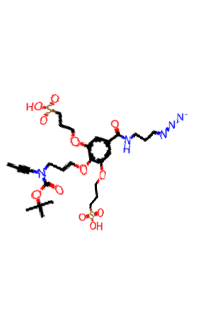 CC#CN(CCCOc1c(OCCCS(=O)(=O)O)cc(C(=O)NCCCN=[N+]=[N-])cc1OCCCS(=O)(=O)O)C(=O)OC(C)(C)C